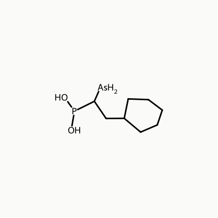 OP(O)C([AsH2])CC1CCCCC1